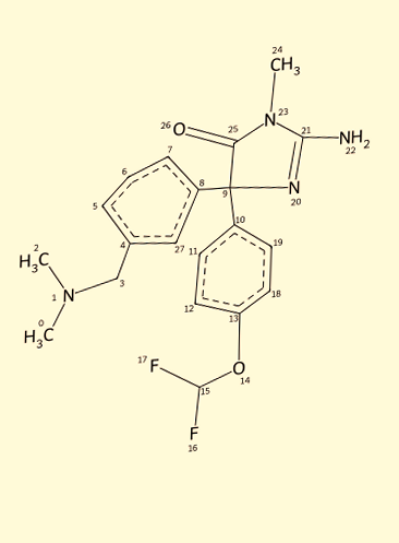 CN(C)Cc1cccc(C2(c3ccc(OC(F)F)cc3)N=C(N)N(C)C2=O)c1